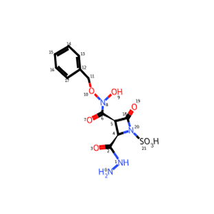 NNC(=O)[C@H]1[C@@H](C(=O)N(O)OCc2ccccc2)C(=O)N1S(=O)(=O)O